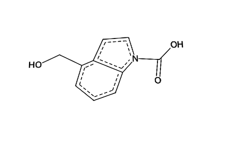 O=C(O)n1ccc2c(CO)cccc21